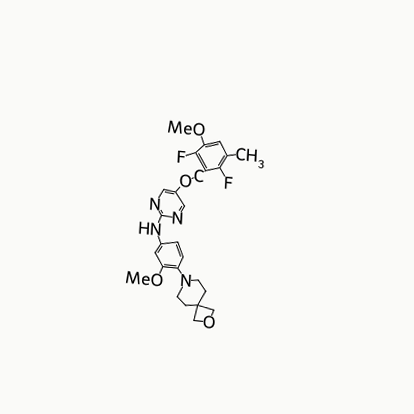 COc1cc(Nc2ncc(OCc3c(F)c(C)cc(OC)c3F)cn2)ccc1N1CCC2(CC1)COC2